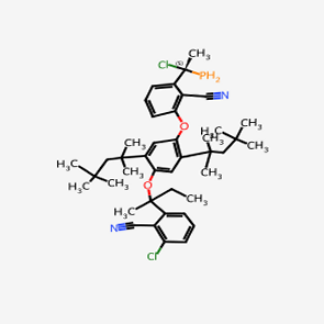 CCC(C)(Oc1cc(C(C)(C)CC(C)(C)C)c(Oc2cccc([C@@](C)(P)Cl)c2C#N)cc1C(C)(C)CC(C)(C)C)c1cccc(Cl)c1C#N